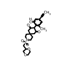 CC#Cc1cc(C)c(C2C(=O)CC3(CCN(S(=O)(=O)CC4COCCO4)CC3)CC2=O)c(C)c1